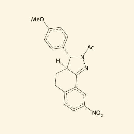 COc1ccc([C@H]2[C@@H]3CCc4ccc([N+](=O)[O-])cc4C3=NN2C(C)=O)cc1